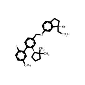 CC[C@@]1(CC(=O)O)CCc2ccc(OCc3ccc(-c4cc(OC)ccc4F)c([C@@H]4CCCC4(C)C)c3)cc21